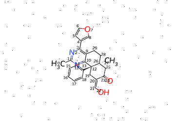 Cc1nc(-c2ccoc2)c2c(n1)[C@@]1(c3ccccc3)CC(=CO)C(=O)C[C@]1(C)CC2